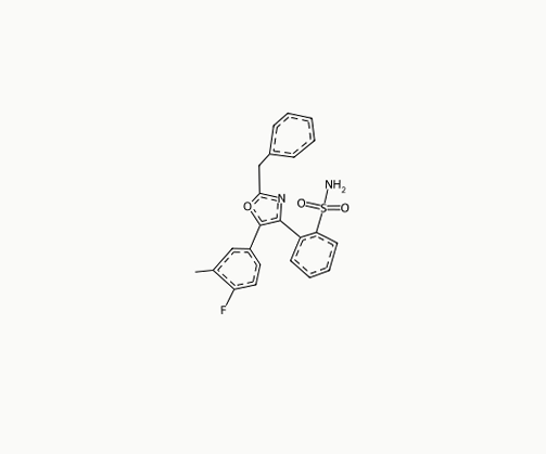 Cc1cc(-c2oc(Cc3ccccc3)nc2-c2ccccc2S(N)(=O)=O)ccc1F